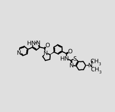 CN(C)[C@H]1CCc2nc(NC(=O)c3cccc([C@H]4CCCN4C(=O)c4cc(-c5ccncc5)[nH]n4)c3)sc2C1